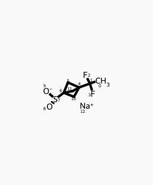 CC(F)(F)C12CC(S(=O)[O-])(C1)C2.[Na+]